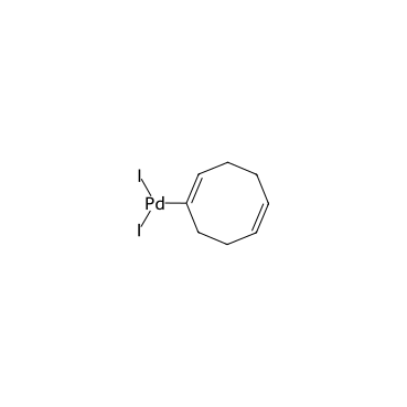 [I][Pd]([I])[C]1=CCCC=CCC1